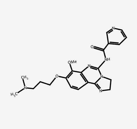 COc1c(OCCCN(C)C)ccc2c1N=C(NC(=O)c1cccnc1)N1CCN=C21